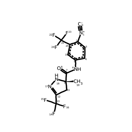 [C-]#[N+]c1ccc(NC(=O)[C@]2(C)CC(C(F)(F)F)=NN2)cc1C(F)(F)F